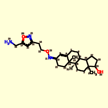 CC12CC[C@@H]3C(CCC4=CC(=NOCCc5cc(CN)on5)CCC43C)C1CCC2O